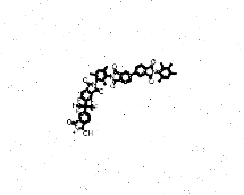 Cc1cc(C)c(N2C(=O)c3ccc(-c4ccc5c(c4)C(=O)N(c4c(C)cc(C)c(N6C(=O)c7ccc(C(c8ccc9c(c8)C(=O)N(C)C9O)(C(F)(F)F)C(F)(F)F)cc7C6=O)c4C)C5=O)cc3C2=O)c(C)c1C